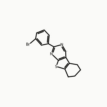 Brc1cccc(-c2n[c]c3c4c(sc3n2)CCCC4)c1